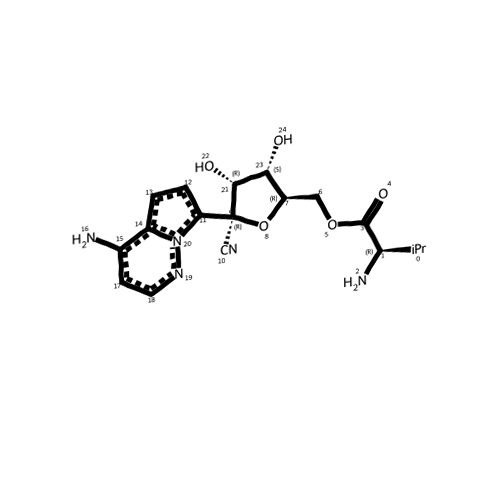 CC(C)[C@@H](N)C(=O)OC[C@H]1O[C@@](C#N)(c2ccc3c(N)ccnn23)[C@H](O)[C@@H]1O